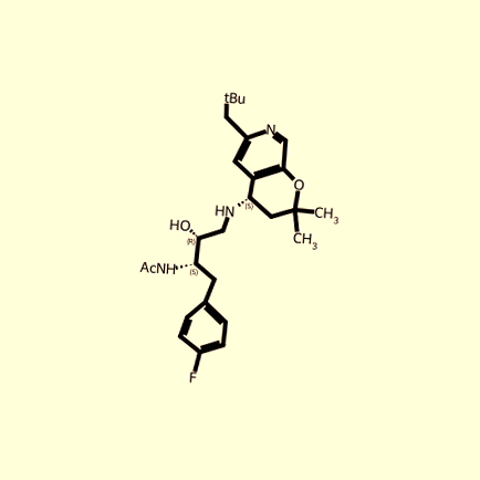 CC(=O)N[C@@H](Cc1ccc(F)cc1)[C@H](O)CN[C@H]1CC(C)(C)Oc2cnc(CC(C)(C)C)cc21